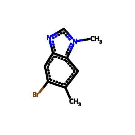 Cc1cc2c(cc1Br)ncn2C